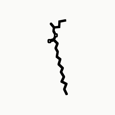 CCCCCCCCCCCCCC(=O)OCC(C)CCC